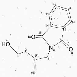 C[C@H](CCO)CN1C(=O)c2ccccc2C1=O